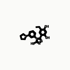 CCc1cc(-c2nnc(S)n2-c2cccc(N3CCCC3)c2)c(O)cc1O